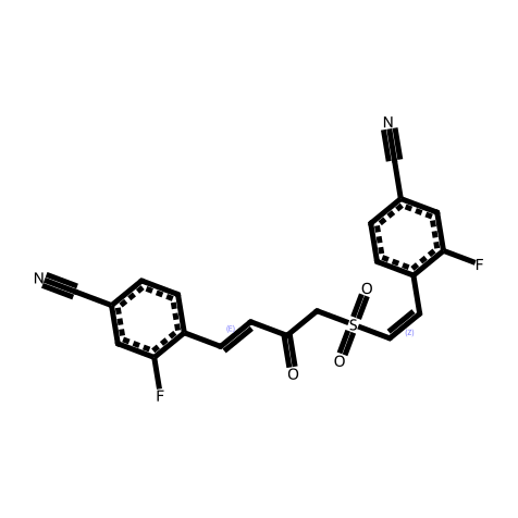 N#Cc1ccc(/C=C\S(=O)(=O)CC(=O)/C=C/c2ccc(C#N)cc2F)c(F)c1